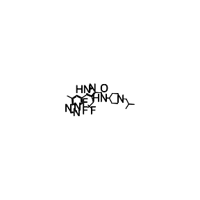 Cc1cc(-c2[nH]nc(C(=O)NC3CCN(CC(C)C)CC3)c2CC(F)(F)F)cn2ncnc12